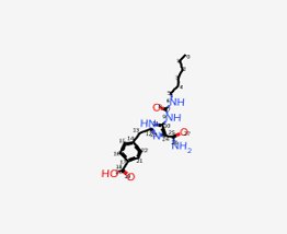 CCCCCCNC(=O)Nc1[nH]c(Cc2ccc(C(=O)O)cc2)nc1C(N)=O